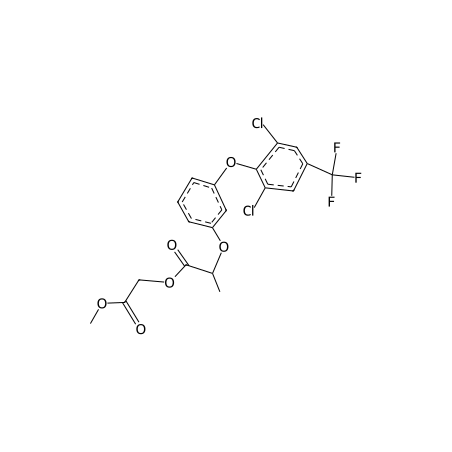 COC(=O)COC(=O)C(C)Oc1cccc(Oc2c(Cl)cc(C(F)(F)F)cc2Cl)c1